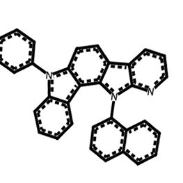 c1ccc(-n2c3ccccc3c3c2ccc2c4cccnc4n(-c4cccc5ccccc45)c23)cc1